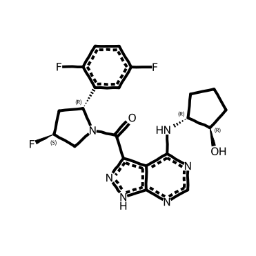 O=C(c1n[nH]c2ncnc(N[C@@H]3CCC[C@H]3O)c12)N1C[C@@H](F)C[C@@H]1c1cc(F)ccc1F